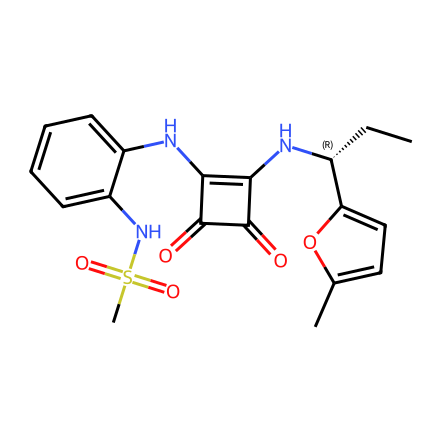 CC[C@@H](Nc1c(Nc2ccccc2NS(C)(=O)=O)c(=O)c1=O)c1ccc(C)o1